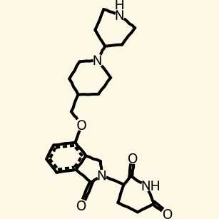 O=C1CCC(N2Cc3c(OCC4CCN(C5CCNCC5)CC4)cccc3C2=O)C(=O)N1